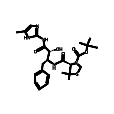 Cc1cnc(NC(=O)[C@H](O)[C@H](Cc2ccccc2)NC(=O)[C@H]2N(C(=O)OC(C)(C)C)CSC2(C)C)[nH]1